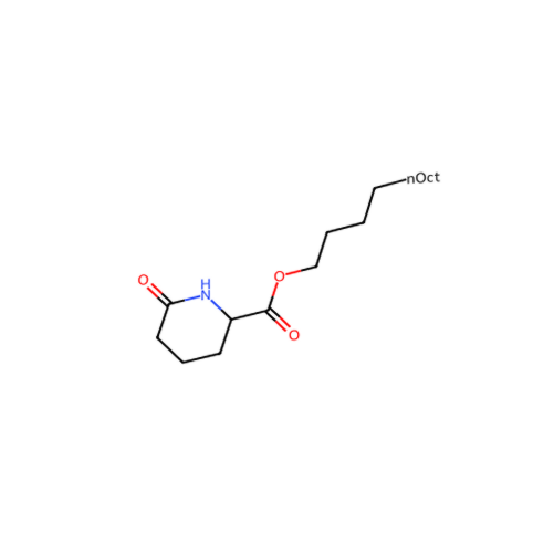 CCCCCCCCCCCCOC(=O)C1CCCC(=O)N1